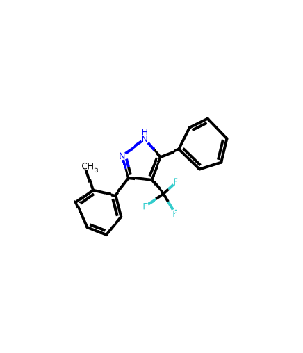 Cc1ccccc1-c1n[nH]c(-c2ccccc2)c1C(F)(F)F